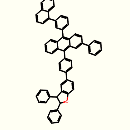 c1ccc(-c2ccc3c(-c4cccc(-c5cccc6ccccc56)c4)c4ccccc4c(-c4ccc(-c5ccc6c(c5)C(c5ccccc5)C(c5ccccc5)O6)cc4)c3c2)cc1